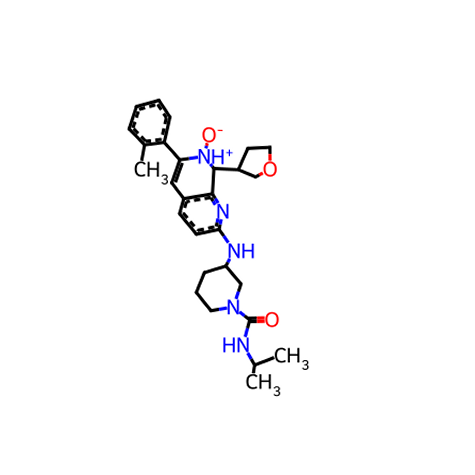 Cc1ccccc1C1=Cc2ccc(NC3CCCN(C(=O)NC(C)C)C3)nc2C(C2CCOC2)[NH+]1[O-]